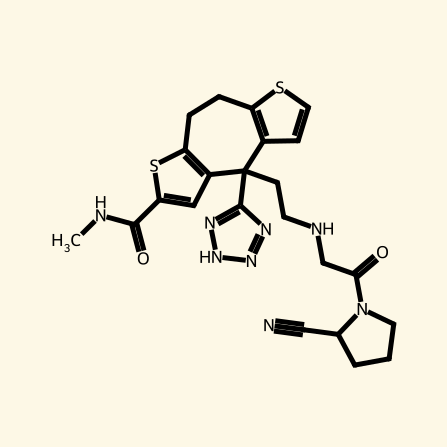 CNC(=O)c1cc2c(s1)CCc1sccc1C2(CCNCC(=O)N1CCCC1C#N)c1nn[nH]n1